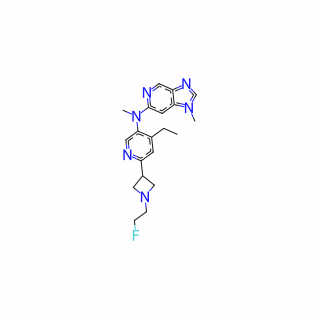 CCc1cc(C2CN(CCF)C2)ncc1N(C)c1cc2c(cn1)ncn2C